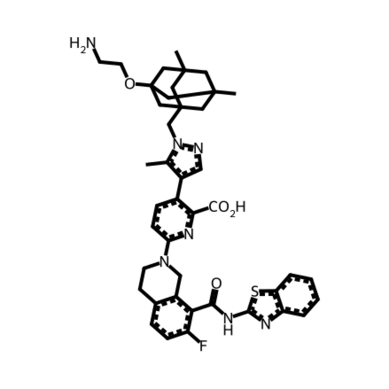 Cc1c(-c2ccc(N3CCc4ccc(F)c(C(=O)Nc5nc6ccccc6s5)c4C3)nc2C(=O)O)cnn1CC12CC3(C)CC(C)(C1)CC(OCCN)(C3)C2